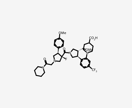 COC[C@H]1CN(C(=O)[C@]2(F)CN(CC(=O)N3CCCCC3)C[C@H]2c2ccc(OC)cc2)C[C@@H]1c1ccc(C(F)(F)F)cc1N1CCC(C(=O)O)CC1